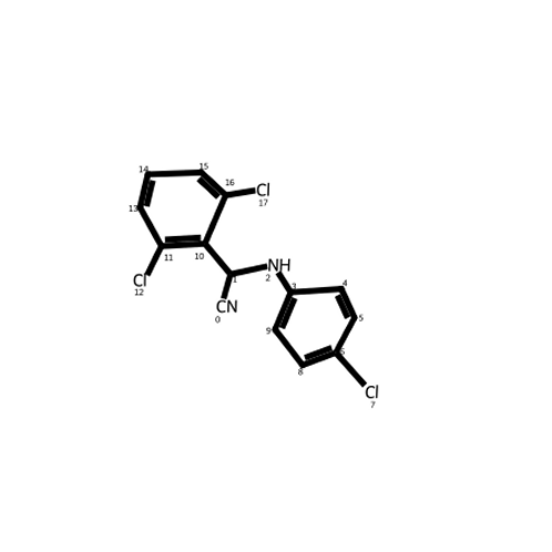 N#CC(Nc1ccc(Cl)cc1)c1c(Cl)cccc1Cl